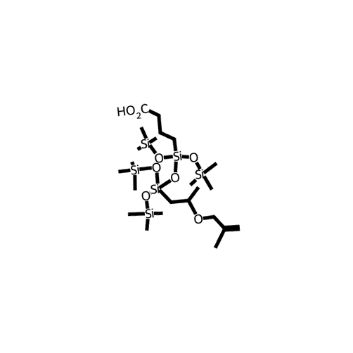 C=C(C)COC(C)C[Si](O[Si](C)(C)C)(O[Si](C)(C)C)O[Si](CCCC(=O)O)(O[Si](C)(C)C)O[Si](C)(C)C